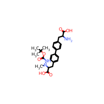 CN(NC(=O)OC(C)(C)C)C(Cc1ccc(-c2ccc(CC(N)C(=O)O)cc2)cc1)C(=O)O